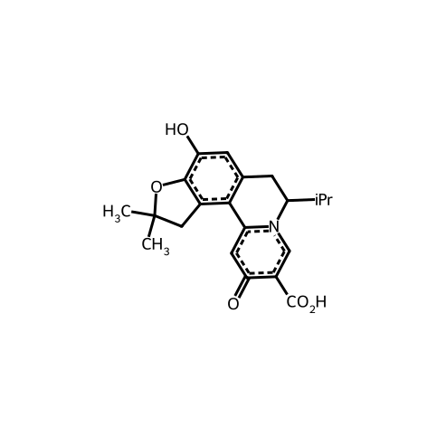 CC(C)C1Cc2cc(O)c3c(c2-c2cc(=O)c(C(=O)O)cn21)CC(C)(C)O3